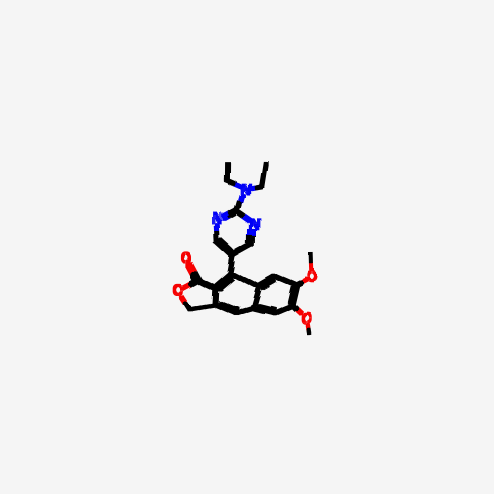 CCN(CC)c1ncc(-c2c3c(cc4cc(OC)c(OC)cc24)COC3=O)cn1